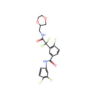 O=C(Nc1ccc(F)c(F)c1)c1ccc(F)c(C(F)(F)C(=O)NCC2COCCO2)c1